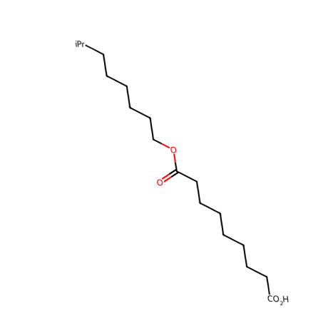 CC(C)CCCCCCOC(=O)CCCCCCCC(=O)O